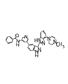 CN1CCN(c2cccc3[nH]c(-c4n[nH]c5ccc(-c6cncc(NC(=O)c7ccccc7)c6)cc45)nc23)CC1